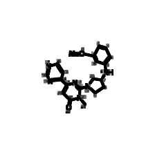 COc1cccc(N[C@H]2CCN(c3nc(-c4ccncn4)cc(=O)n3C)C2)c1